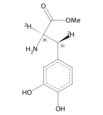 [2H][C@@H](c1ccc(O)c(O)c1)[C@@]([2H])(N)C(=O)OC